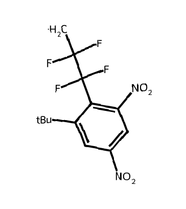 [CH2]C(F)(F)C(F)(F)c1c([N+](=O)[O-])cc([N+](=O)[O-])cc1C(C)(C)C